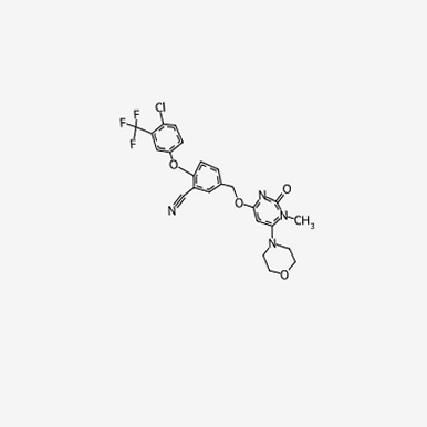 Cn1c(N2CCOCC2)cc(OCc2ccc(Oc3ccc(Cl)c(C(F)(F)F)c3)c(C#N)c2)nc1=O